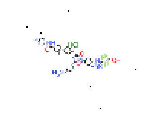 Cc1cc(C(=O)NC2CCN(C)CC2)ccc1-c1ccc(C[C@H](NC(=O)C2CCC(CN)CC2)C(=O)Nc2ccc(-c3nc(C(F)(F)C(F)(F)CO)n[nH]3)cc2)cc1.Cl